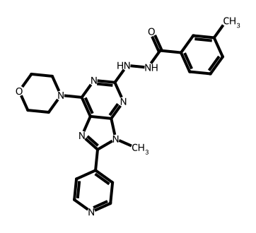 Cc1cccc(C(=O)NNc2nc(N3CCOCC3)c3nc(-c4ccncc4)n(C)c3n2)c1